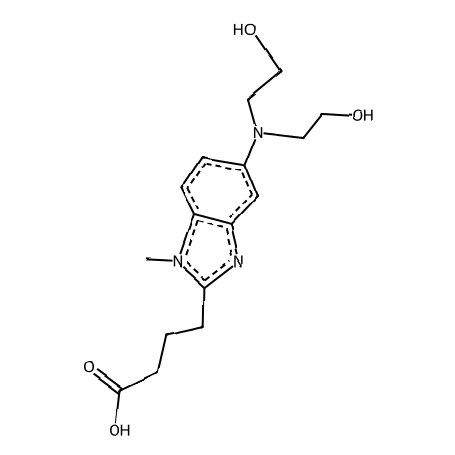 Cn1c(CCCC(=O)O)nc2cc(N(CCO)CCO)ccc21